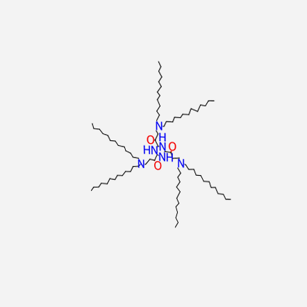 CCCCCCCCCCCCCN(CCCCCCCCCCCCC)CCC(=O)C1NC(C(=O)CCN(CCCCCCCCCCCCC)CCCCCCCCCCCCC)NC(C(=O)CCN(CCCCCCCCCCCCC)CCCCCCCCCCCCC)N1